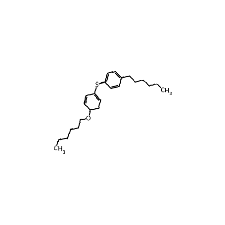 CCCCCCOC1C=CC(Sc2ccc(CCCCCC)cc2)=CC1